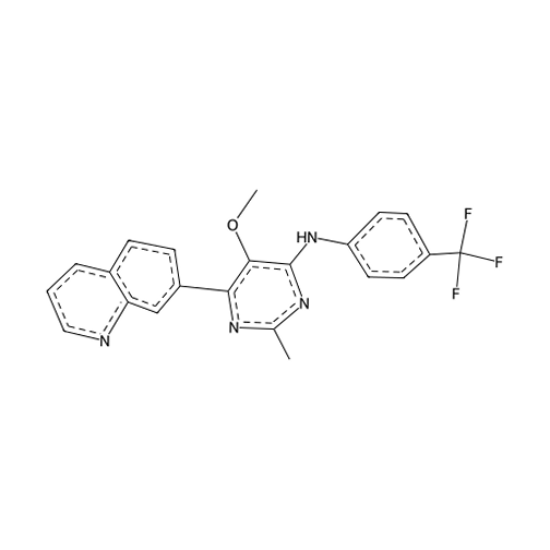 COc1c(Nc2ccc(C(F)(F)F)cc2)nc(C)nc1-c1ccc2cccnc2c1